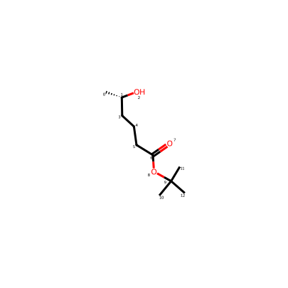 C[C@H](O)CCCC(=O)OC(C)(C)C